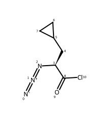 [N-]=[N+]=N[C@@H](CC1CC1)C(=O)Cl